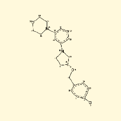 Clc1ccc(CO[C@@H]2CCN(c3cncc(N4CCOCC4)c3)C2)cc1